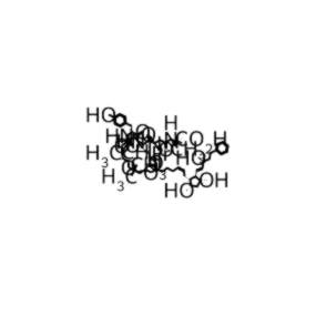 CC(C)C[C@H](NC(=O)[C@H](Cc1ccc(O)cc1)NC(=O)OC(C)(C)CCOC(C)(C)CCOC(=O)CCC/C=C\C[C@@H]1[C@@H](/C=C/[C@@H](O)CCc2ccccc2)[C@H](O)C[C@@H]1O)C(=O)NCC(=O)N[C@@H](C)C(=O)O